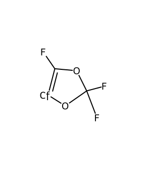 F[C]1=[Cf][O]C(F)(F)O1